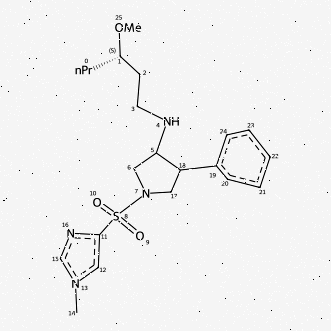 CCC[C@@H](CCNC1CN(S(=O)(=O)c2cn(C)cn2)CC1c1ccccc1)OC